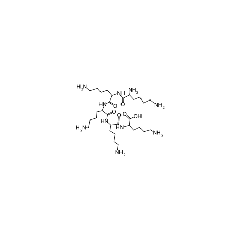 NCCCCC(N)C(=O)NC(CCCCN)C(=O)NC(CCCCN)C(=O)NC(CCCCN)C(=O)NC(CCCCN)C(=O)O